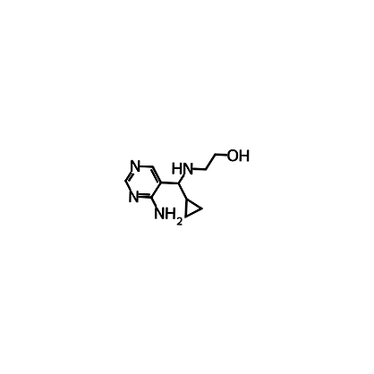 Nc1ncncc1C(NCCO)C1CC1